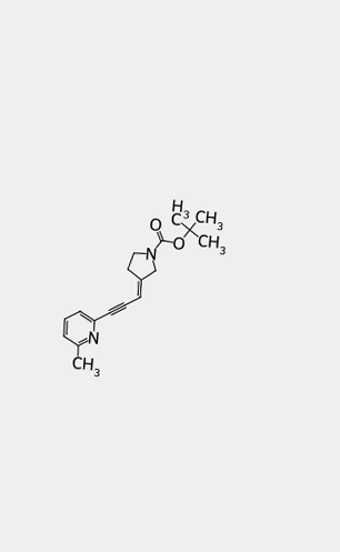 Cc1cccc(C#C/C=C2\CCN(C(=O)OC(C)(C)C)C2)n1